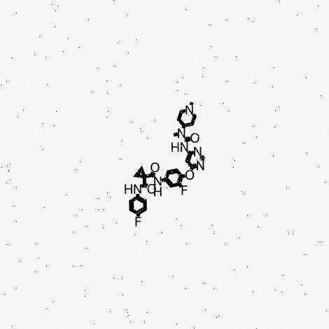 CN1CCC(N(C)C(=O)Nc2cc(Oc3ccc(NC(=O)C4(C(=O)Nc5ccc(F)cc5)CC4)cc3F)ncn2)CC1